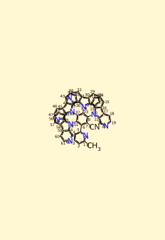 Cc1cccc(-c2c(C#N)c(-n3c4ccccc4c4ccncc43)c(-n3c4ccccc4c4ccncc43)c(-n3c4ccccc4c4ccncc43)c2-n2c3ccccc3c3ccncc32)n1